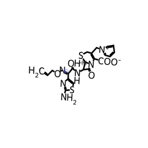 C=CCO/N=C(/C(=O)NC1C(=O)N2C(C(=O)[O-])=C(C[n+]3ccccc3)CS[C@H]12)c1csc(N)n1